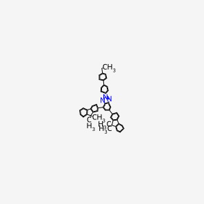 CCc1ccc(-c2ccc(-n3nc4cc(-c5ccc6c(c5)C(C)(C)c5ccccc5-6)cc(-c5ccc6c(c5)C(C)(C)c5ccccc5-6)c4n3)cc2)cc1